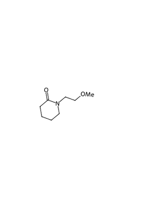 COCCN1CCCCC1=O